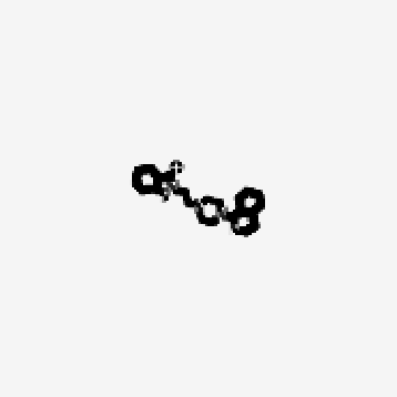 O=c1c2ccccc2sn1CCN1CCN(c2nccc3ccccc23)CC1